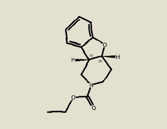 CCOC(=O)N1CC[C@H]2Oc3ccccc3[C@H]2C1